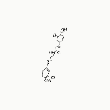 O=C(CSc1ccc(O)c(Cl)c1)NCCCSc1ccc(O)c(Cl)c1